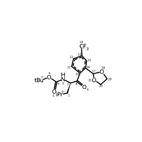 CC(C)C[C@@H](NC(=O)OC(C)(C)C)C(=O)c1ccc(C(F)(F)F)cc1C1OCCO1